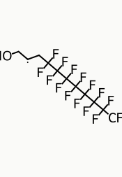 OC[CH]CC(F)(F)C(F)(F)C(F)(F)C(F)(F)C(F)(F)C(F)(F)C(F)(F)C(F)(F)F